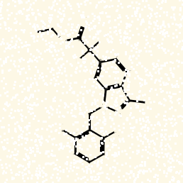 CCOC(=O)C(F)(F)c1ccc2c(C)nn(Cc3c(Cl)cccc3Cl)c2c1